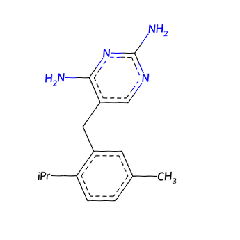 Cc1ccc(C(C)C)c(Cc2cnc(N)nc2N)c1